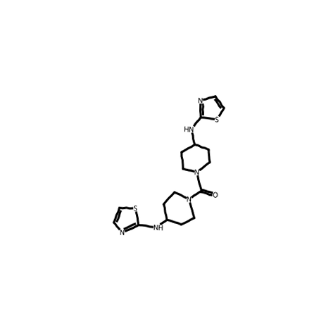 O=C(N1CCC(Nc2nccs2)CC1)N1CCC(Nc2nccs2)CC1